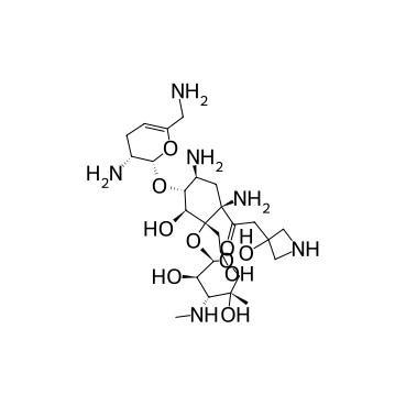 CN[C@@H]1[C@@H](O)[C@@H](O[C@]2(CCO)[C@@H](O)[C@H](O[C@H]3OC(CN)=CC[C@H]3N)[C@@H](N)C[C@]2(N)C(=O)CC2(O)CNC2)OC[C@]1(C)O